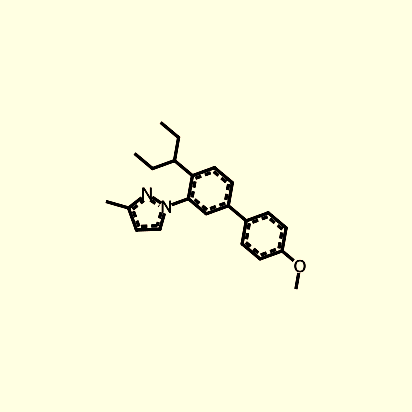 CCC(CC)c1ccc(-c2ccc(OC)cc2)cc1-n1ccc(C)n1